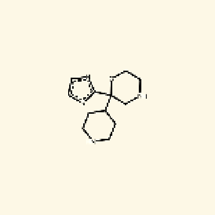 c1csc(C2(C3CCNCC3)CNCCO2)n1